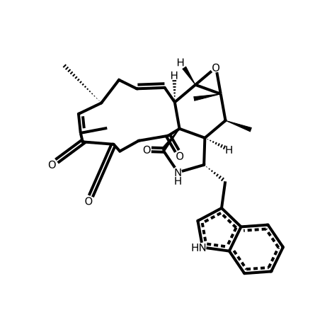 C/C1=C\[C@@H](C)C/C=C/[C@H]2[C@@H]3O[C@]3(C)[C@@H](C)[C@H]3[C@H](Cc4c[nH]c5ccccc45)NC(=O)[C@]32C(=O)CCC(=O)C1=O